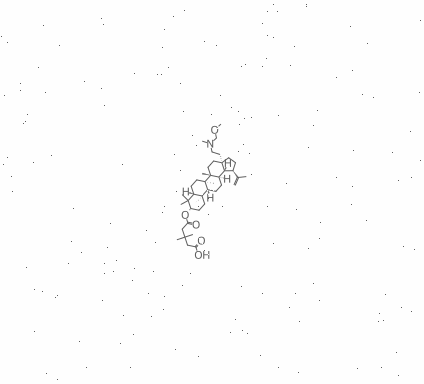 C=C(C)[C@@H]1CC[C@]2(CCN(C)COC)CC[C@]3(C)[C@H](CC[C@@H]4[C@@]5(C)CC[C@H](OC(=O)CC(C)(C)CC(=O)O)C(C)(C)[C@@H]5CC[C@]43C)[C@@H]12